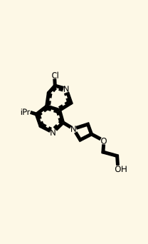 CC(C)c1cnc(N2CC(OCCO)C2)c2cnc(Cl)cc12